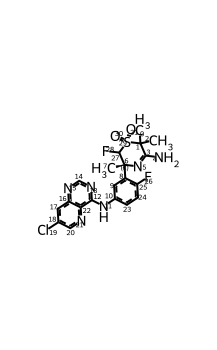 CC1(C)C(N)=N[C@](C)(c2cc(Nc3ncnc4cc(Cl)cnc34)ccc2F)C(F)S1(=O)=O